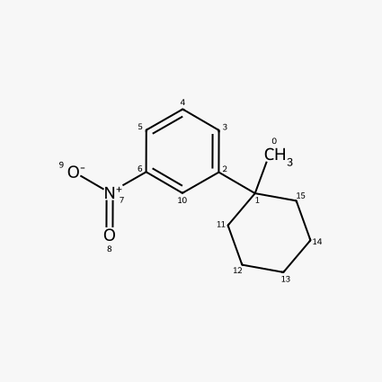 CC1(c2cccc([N+](=O)[O-])c2)CCCCC1